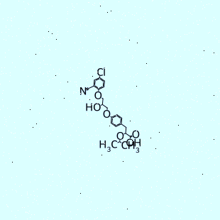 CC(C)OC(Cc1ccc(OCC(O)COc2ccc(Cl)cc2C#N)cc1)C(=O)O